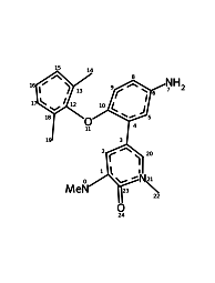 CNc1cc(-c2cc(N)ccc2Oc2c(C)cccc2C)cn(C)c1=O